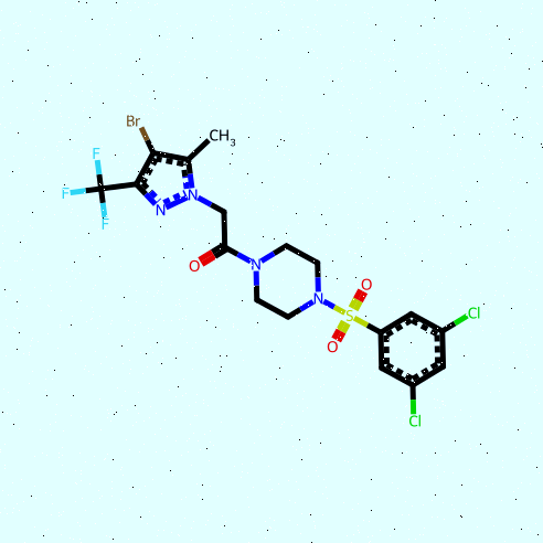 Cc1c(Br)c(C(F)(F)F)nn1CC(=O)N1CCN(S(=O)(=O)c2cc(Cl)cc(Cl)c2)CC1